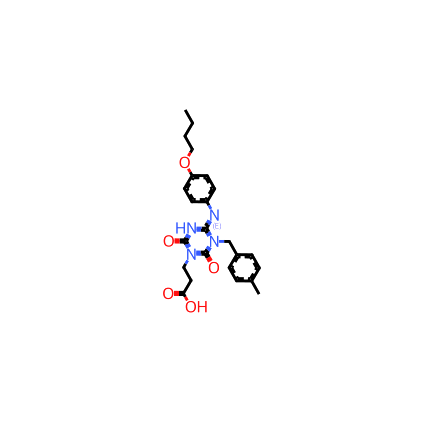 CCCCOc1ccc(/N=c2\[nH]c(=O)n(CCC(=O)O)c(=O)n2Cc2ccc(C)cc2)cc1